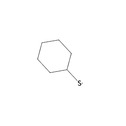 [S]C1CCCCC1